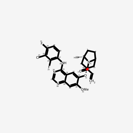 C=CC(=O)N1C2CC[C@@H]1C[C@@H](Oc1cc3c(Nc4ccc(F)c(Cl)c4F)ncnc3cc1OC)C2